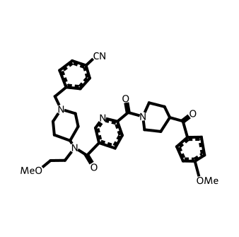 COCCN(C(=O)c1ccc(C(=O)N2CCC(C(=O)c3ccc(OC)cc3)CC2)nc1)C1CCN(Cc2ccc(C#N)cc2)CC1